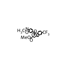 COC(=O)CCc1cc2cc(C(F)(F)F)ccc2n1S(=O)(=O)c1ccc2nc(C)oc2c1